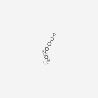 FC(F)(F)Oc1ccc(OC(F)(F)c2ccc(C3CCC(C4CCC(C5CCC5)CO4)CC3)cc2)cc1